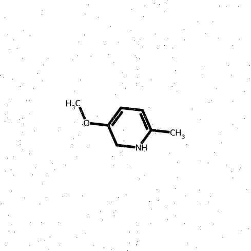 COC1=CC=C(C)NC1